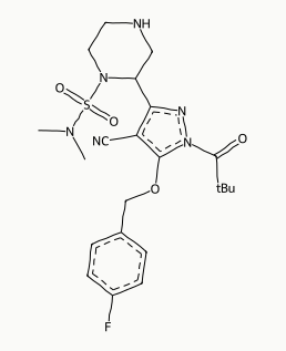 CN(C)S(=O)(=O)N1CCNCC1c1nn(C(=O)C(C)(C)C)c(OCc2ccc(F)cc2)c1C#N